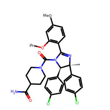 COc1ccc(C2=N[C@@](C)(c3ccc(Cl)cc3)[C@@H](c3ccc(Cl)cc3)N2C(=O)N2CCC(C(N)=O)CC2)c(OC(C)C)c1